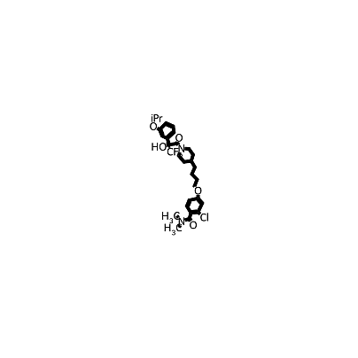 CC(C)Oc1cccc([C@@](O)(C(=O)N2CCC(CCCCOc3ccc(C(=O)N(C)C)c(Cl)c3)CC2)C(F)(F)F)c1